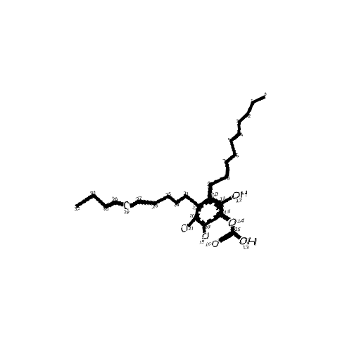 CCCCCCCCCCc1c(O)c(OC(=O)O)c(Cl)c(Cl)c1CCCCCCCCCC